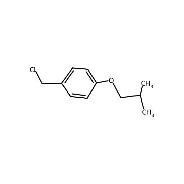 CC(C)COc1ccc(CCl)cc1